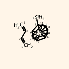 C=CC=C.[SiH3][C]12[CH]3[CH]4[CH]5[CH]1[Fe]45321678[CH]2[CH]1[CH]6[CH]7[CH]28